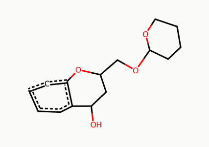 OC1CC(COC2CCCCO2)Oc2ccccc21